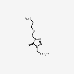 CCOC(=O)Cn1nnn(COCCSC)c1=O